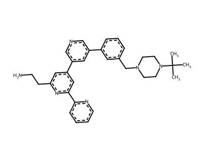 CC(C)(C)N1CCN(Cc2cccc(-c3cncc(-c4cc(CCN)nc(-c5ccccn5)c4)c3)c2)CC1